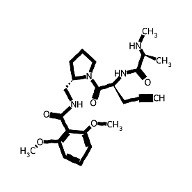 C#CC[C@H](NC(=O)[C@H](C)NC)C(=O)N1CCC[C@H]1CNC(=O)c1c(OC)cccc1OC